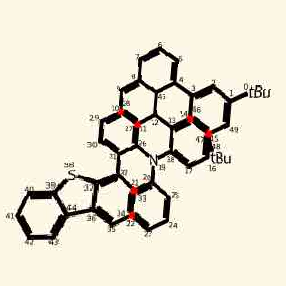 CC(C)(C)c1cc(C2=CC=CC3=CC=CC(c4ccccc4N(c4ccccc4)c4ccccc4-c4cccc5c4sc4ccccc45)C32)cc(C(C)(C)C)c1